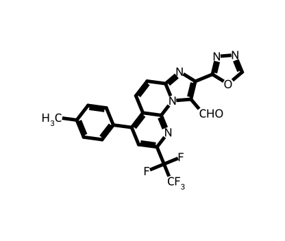 Cc1ccc(-c2cc(C(F)(F)C(F)(F)F)nc3c2ccc2nc(-c4nnco4)c(C=O)n23)cc1